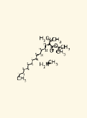 CCCCCCCCCCCCCCC(C(=O)OC(C)C)C(C)C.CN